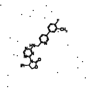 Cc1cc(-c2ccc(CNc3ncnc(N4C(=O)OCC4C(C)C)n3)nc2)ccc1F